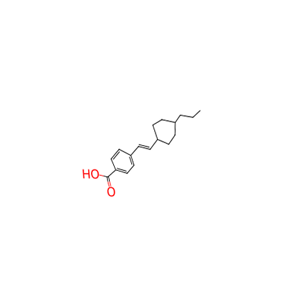 CCCC1CCC(C=Cc2ccc(C(=O)O)cc2)CC1